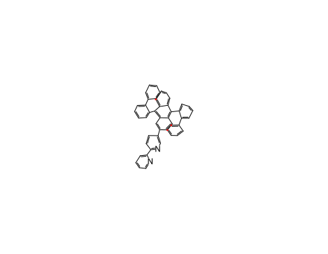 c1ccc(-c2ccccc2-c2c3ccccc3c(-c3ccccc3-c3ccccc3)c3cc(-c4ccc(-c5ccccn5)nc4)ccc23)cc1